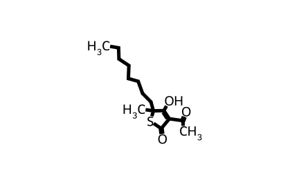 CCCCCCCCC1(C)SC(=O)C(C(C)=O)=C1O